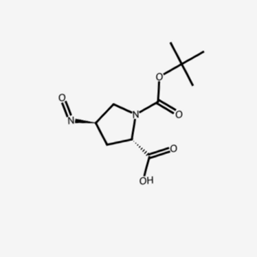 CC(C)(C)OC(=O)N1C[C@H](N=O)C[C@H]1C(=O)O